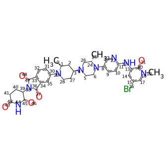 C[C@H]1C[C@@H](N2CCN(c3ccc(Nc4cc(Br)cn(C)c4=O)nc3)[C@@H](C)C2)CCN1c1ccc2c(c1)C(=O)N(C1CCC(=O)NC1=O)C2=O